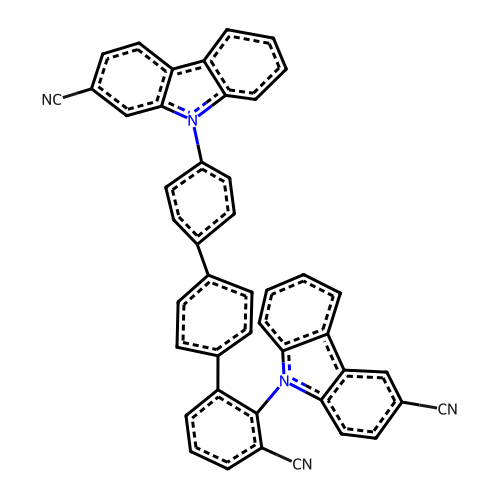 N#Cc1ccc2c(c1)c1ccccc1n2-c1c(C#N)cccc1-c1ccc(-c2ccc(-n3c4ccccc4c4ccc(C#N)cc43)cc2)cc1